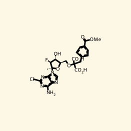 COC(=O)c1ccc(CC(OC[C@H]2O[C@@](C)(n3cnc4c(N)nc(Cl)nc43)[C@@H](F)[C@@H]2O)(C(=O)O)C(=O)O)cc1